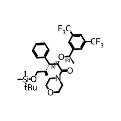 C=C(CO[Si](C)(C)C(C)(C)C)[C@H](c1ccccc1)[C@H](O[C@H](C)c1cc(C(F)(F)F)cc(C(F)(F)F)c1)C(=O)N1CCOCC1